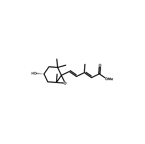 COC(=O)/C=C(C)/C=C/C12OC1(C)C[C@H](O)CC2(C)C